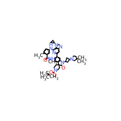 CNC(=O)c1cc(Nc2nc(-c3ccc4c(c3)N(C3CC(N5CCC(C)(C)C5)C3)C(=O)C43CCN(C(=O)OC(C)(C)C)CC3)cc3ncn(C4CC4)c23)ccc1C